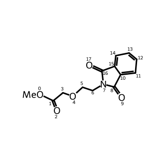 COC(=O)COCCN1C(=O)c2ccccc2C1=O